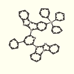 c1ccc(-c2cc(-n3c4ccccc4n4c5ccccc5nc34)nc(-n3c4ccc([Si](c5ccccc5)(c5ccccc5)c5ccccc5)cc4n4c5ccccc5nc34)c2)cc1